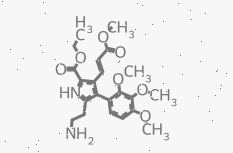 CCOC(=O)c1[nH]c(CCN)c(-c2ccc(OC)c(OC)c2OC)c1C=CC(=O)OC